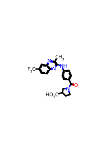 Cc1nc2cc(C(F)(F)F)ccc2nc1Nc1ccc(C(=O)N2CCC(C(=O)O)C2)cc1